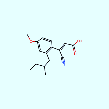 CCC(C)Cc1cc(OC)ccc1C(C#N)=CC(=O)O